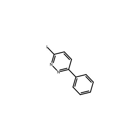 Ic1ccc(-c2ccccc2)nn1